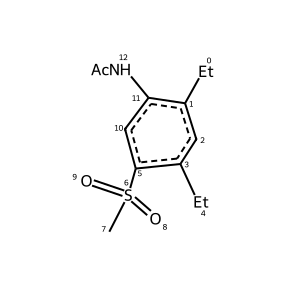 CCc1cc(CC)c(S(C)(=O)=O)cc1NC(C)=O